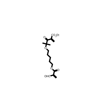 C=C(C=O)C(=O)OCCCCCOC(C)(C)C(=O)C(=C)C(=O)OCC